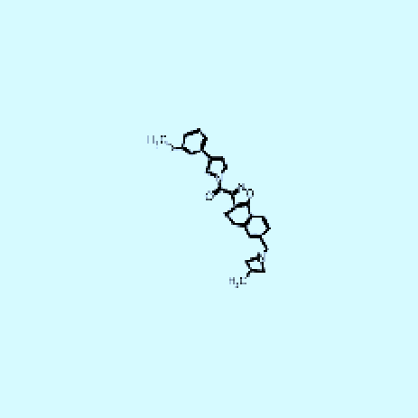 COc1cccc(C2CCN(C(=O)c3noc4c3CCc3cc(CN5CC(C)C5)ccc3-4)C2)c1